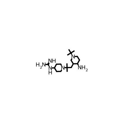 CC(C)(C)N1CCC(N)C(CC(C)(C)N2CCC(NC(=N)N)CC2)C1